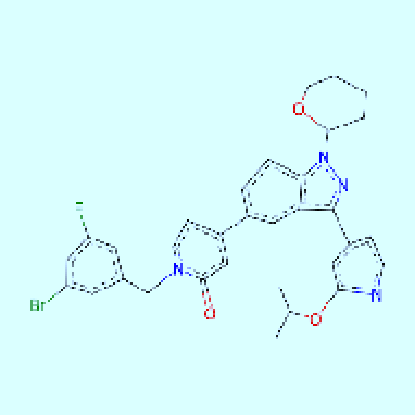 CC(C)Oc1cc(-c2nn(C3CCCCO3)c3ccc(-c4ccn(Cc5cc(F)cc(Br)c5)c(=O)c4)cc23)ccn1